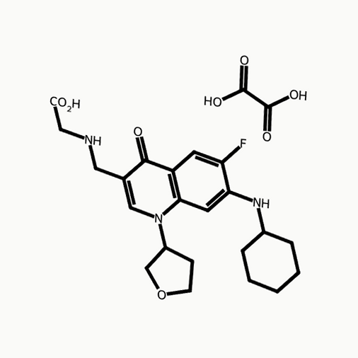 O=C(O)C(=O)O.O=C(O)CNCc1cn(C2CCOC2)c2cc(NC3CCCCC3)c(F)cc2c1=O